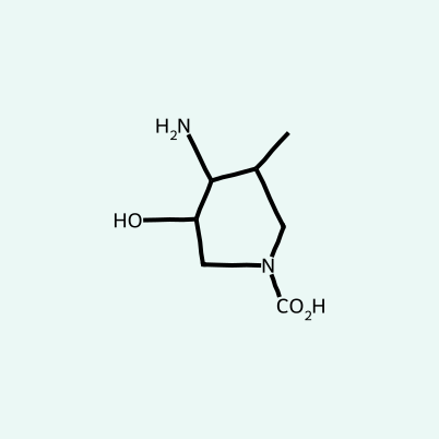 CC1CN(C(=O)O)CC(O)C1N